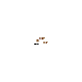 Br.Br.Br.[Au]